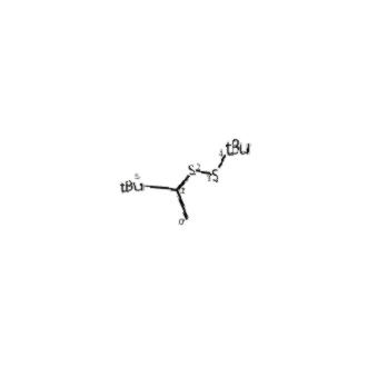 CC(SSC(C)(C)C)C(C)(C)C